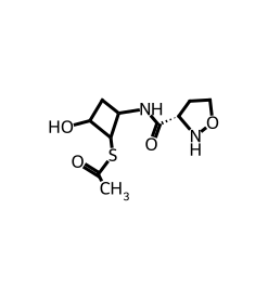 CC(=O)SC1C(O)CC1NC(=O)[C@@H]1CCON1